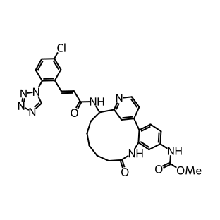 COC(=O)Nc1ccc2c(c1)NC(=O)CCCCCC(NC(=O)C=Cc1cc(Cl)ccc1-n1cnnn1)c1cc-2ccn1